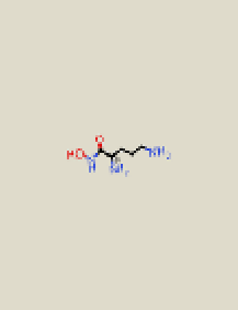 NCCC[C@@H](N)C(=O)NO